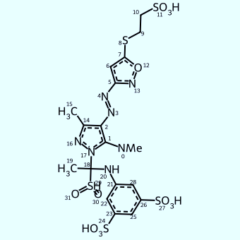 CNc1c(N=Nc2cc(SCCS(=O)(=O)O)on2)c(C)nn1C(C)(Nc1cc(S(=O)(=O)O)cc(S(=O)(=O)O)c1)[SH](=O)=O